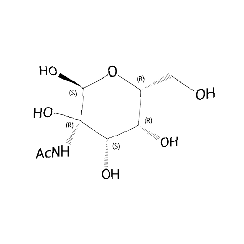 CC(=O)N[C@]1(O)[C@@H](O)O[C@H](CO)[C@H](O)[C@@H]1O